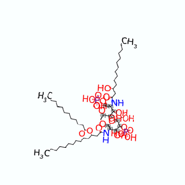 CCCCCCCCCCCC(=O)OC(CCCCCCCCCCC)CC(=O)N[C@H]1[C@H](OC[C@H]2O[C@H](OP(=O)(O)O)[C@H](NC(=O)CC(O)CCCCCCCCCCC)[C@@H](O)[C@@H]2O)O[C@H](CO)[C@@H](OP(=O)(O)O)[C@@H]1O